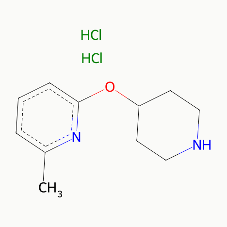 Cc1cccc(OC2CCNCC2)n1.Cl.Cl